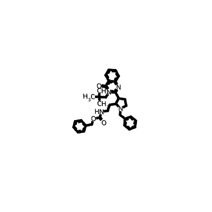 CC(C)(C)Cn1c(C2CCN(Cc3ccccc3)C2CCNC(=O)OCc2ccccc2)nc2ccccc2c1=O